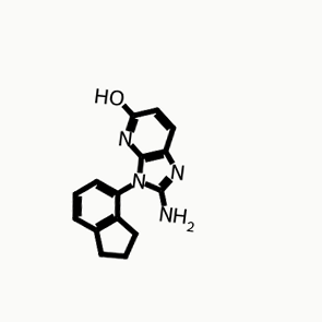 Nc1nc2ccc(O)nc2n1-c1cccc2c1CCC2